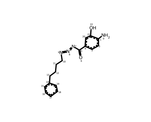 Nc1ccc(C(=O)N=[N+]=NCCCCc2ccccc2)cc1O